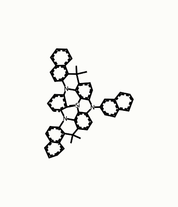 CC1(C)c2ccc3c4c2N(c2cccc5c2[Si]4(C)c2c(ccc4c2N5c2ccc5ccccc5c2C4(C)C)N3c2ccc3ccccc3c2)c2ccc3ccccc3c21